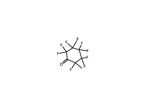 CC1(F)C(=O)C(F)(F)C(F)(F)C(F)(F)C1(F)F